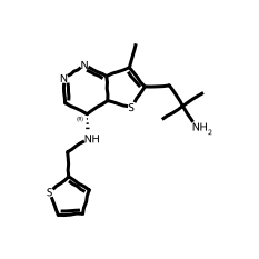 CC1=C(CC(C)(C)N)SC2C1=NN=C[C@H]2NCc1cccs1